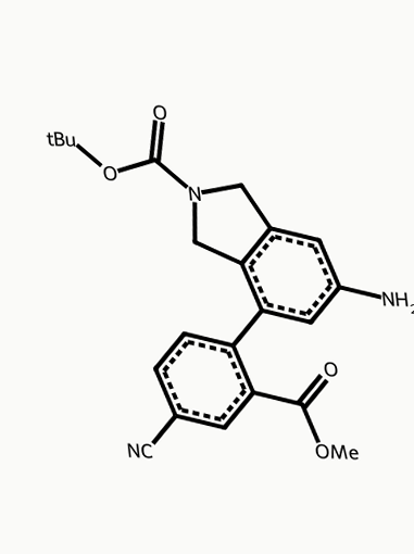 COC(=O)c1cc(C#N)ccc1-c1cc(N)cc2c1CN(C(=O)OC(C)(C)C)C2